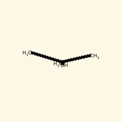 CCCCCCCCCCCCCCCCCCCCCCCC[C@@](C)(CO)CCCCCCCCCCCCCCCCCCCCCC